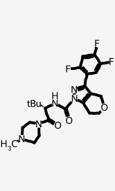 CN1CCN(C(=O)[C@@H](NC(=O)n2nc(-c3cc(F)c(F)cc3F)c3c2CCOC3)C(C)(C)C)CC1